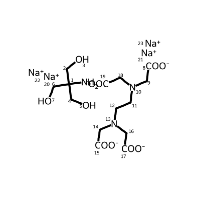 NC(CO)(CO)CO.O=C([O-])CN(CCN(CC(=O)[O-])CC(=O)[O-])CC(=O)[O-].[Na+].[Na+].[Na+].[Na+]